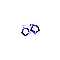 C1=NCCN1.C1CNCN1